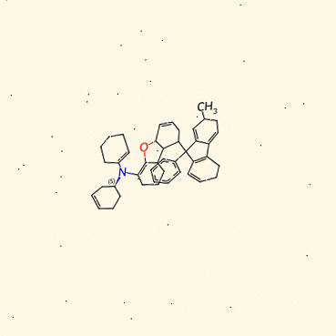 CC1C=C2C(=CC1)C1=C(C=CCC1)C2(c1ccccc1)C1CC=CC2OC3=C(N(C4=CCCCC4)[C@@H]4CC=CCC4)CCCC3C21